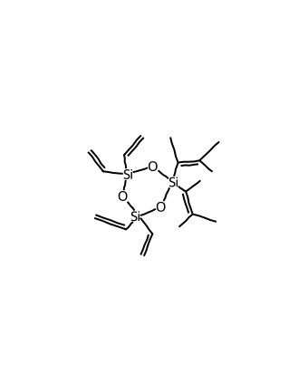 C=C[Si]1(C=C)O[Si](C=C)(C=C)O[Si](C(C)=C(C)C)(C(C)=C(C)C)O1